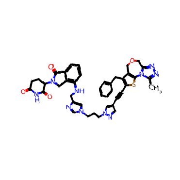 Cc1nnc2n1-c1sc(C#Cc3cnn(CCCn4cnc(CNc5cccc6c5CN(C5CCC(=O)NC5=O)C6=O)c4)c3)c(Cc3ccccc3)c1COC2